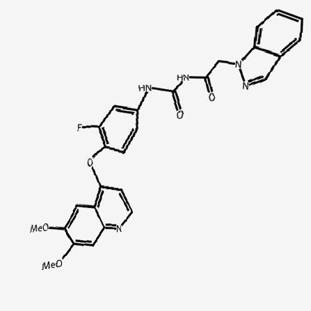 COc1cc2nccc(Oc3ccc(NC(=O)NC(=O)Cn4ncc5ccccc54)cc3F)c2cc1OC